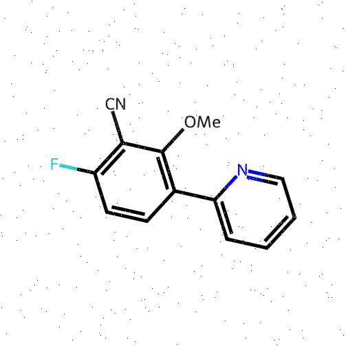 COc1c(-c2ccccn2)ccc(F)c1C#N